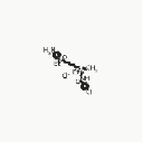 C=CC[N+](CC)(CCCCCCC(=O)N(CC)c1ccc(N)cc1)CCNC(=O)c1ccc(Cl)cc1.[Cl-]